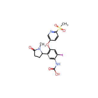 CN1C(=O)CCC1c1cc(NC(=O)O)c(I)cc1Oc1ccc(S(C)(=O)=O)nc1